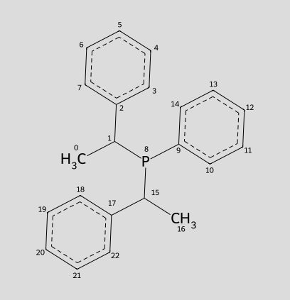 CC(c1ccccc1)P(c1ccccc1)C(C)c1ccccc1